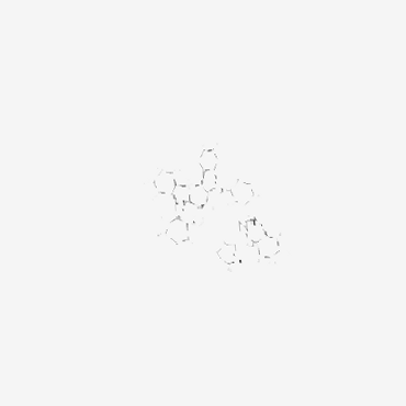 c1ccc(-c2nc(-c3cccc(-n4c5ccccc5c5c6c7ccccc7n7c6c(cc54)Oc4ccccc4-7)c3)nc3ccccc23)nc1